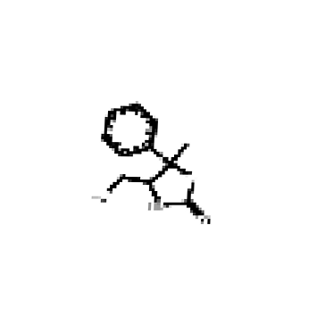 CC1(c2ccccc2)OC(=O)NC1CO